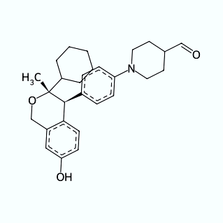 C[C@]1(C2CCCCC2)OCc2cc(O)ccc2[C@@H]1c1ccc(N2CCC(C=O)CC2)cc1